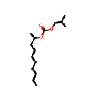 CCCCCCCCC(C)OC(=O)OCC(C)C